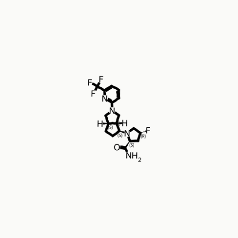 NC(=O)[C@@H]1C[C@@H](F)CN1[C@H]1CC[C@@H]2CN(c3cccc(C(F)(F)F)n3)C[C@@H]21